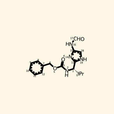 CC(C)[C@H](NC(=O)OCc1ccccc1)c1nc(NC=O)c[nH]1